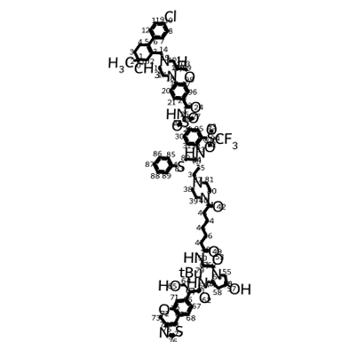 CC1(C)CCC(c2ccc(Cl)cc2)=C(CN2CCN3c4ccc(C(=O)NS(=O)(=O)c5ccc(N[C@H](CCN6CCN(C(=O)CCCCCC(=O)N[C@H](C(=O)N7C[C@H](O)C[C@H]7NC(=O)[C@H](CO)c7ccc8c(c7)OCc7ncsc7-8)C(C)(C)C)CC6)CSc6ccccc6)c(S(=O)(=O)C(F)(F)F)c5)cc4OC[C@@H]3C2)C1